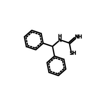 N=C(S)NC(c1ccccc1)c1ccccc1